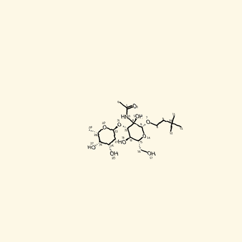 CC(=O)N[C@]1(O)[C@H](OCCC(C)(C)C)O[C@H](CO)[C@@H](O)[C@@H]1O[C@H]1C[C@H](O)[C@H](O)[C@H](C)O1